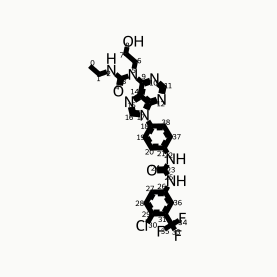 CCNC(=O)N(CCO)c1ncnc2c1ncn2-c1ccc(NC(=O)Nc2ccc(Cl)c(C(F)(F)F)c2)cc1